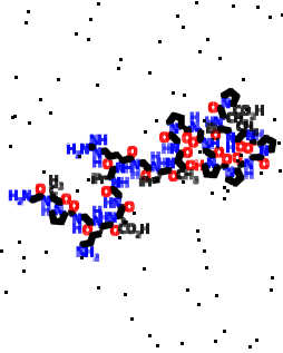 CC[C@H](C)[C@H](NC(=O)[C@@H]1CCCN1C(=O)CNC(=O)[C@@H](NC(=O)[C@H](CC(C)C)NC(=O)CNC(=O)[C@H](CCCNC(=N)N)NC(=O)[C@@H](NC(=O)CNC(=O)[C@H](CC(=O)O)NC(=O)[C@H](CCCCN)NC(=O)CNC(=O)[C@@H]1CCCN1C(=O)[C@H](C)NC(=O)CN)C(C)C)[C@@H](C)O)C(=O)NCC(=O)N1CCC[C@H]1C(=O)N1CCC[C@H]1C(=O)NCC(=O)N1CCC[C@H]1C(=O)N[C@@H](C)C(=O)NCC(=O)N[C@@H](C)C(=O)N1CCC[C@H]1C(=O)O